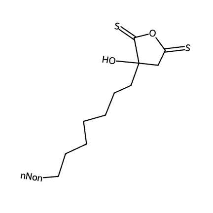 CCCCCCCCCCCCCCCCC1(O)CC(=S)OC1=S